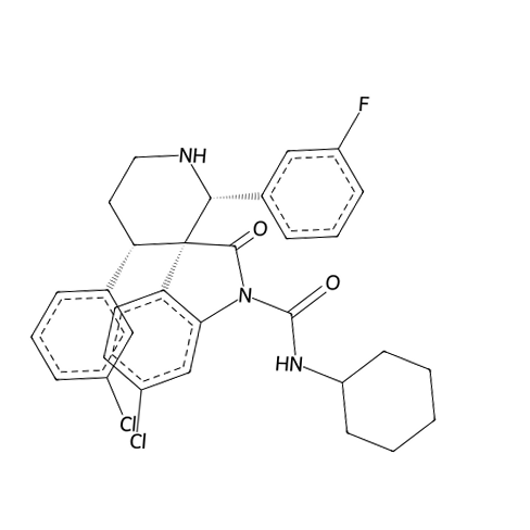 O=C(NC1CCCCC1)N1C(=O)[C@]2(c3ccc(Cl)cc31)[C@@H](c1cccc(F)c1)NCC[C@H]2c1cccc(Cl)c1